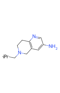 C[C](C)CN1CCc2ncc(N)cc2C1